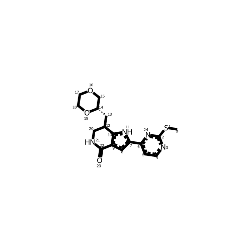 CSc1nccc(-c2cc3c([nH]2)C(C[C@H]2COCCO2)CNC3=O)n1